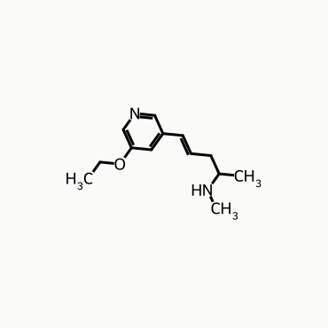 CCOc1cncc(C=CCC(C)NC)c1